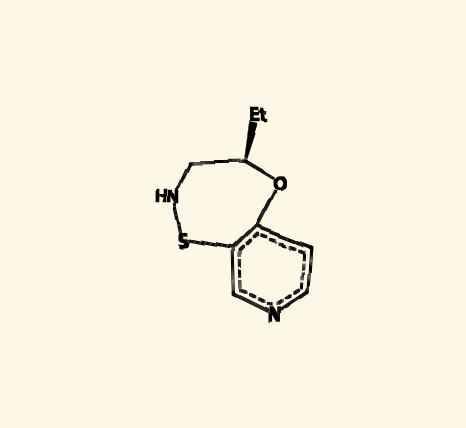 CC[C@@H]1CNSc2cnccc2O1